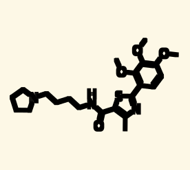 COc1ccc(-c2nc(C)c(C(=O)NCCCCN3CCCC3)s2)c(OC)c1OC